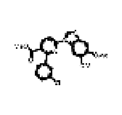 COC(=O)c1ccc(-n2cnc3cc(OC)c(OC)cc32)nc1-c1cccc(Cl)c1